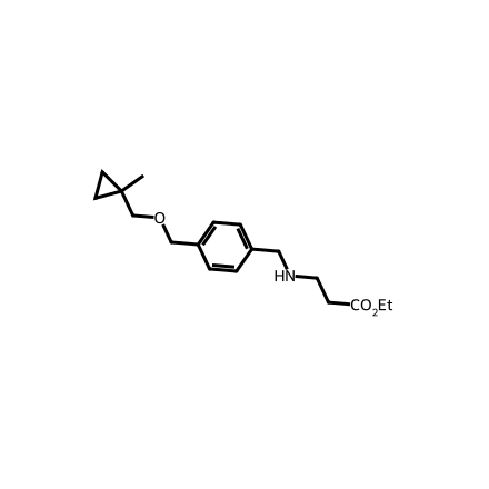 CCOC(=O)CCNCc1ccc(COCC2(C)CC2)cc1